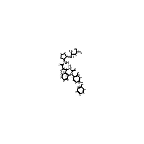 C=c1[nH]c2c(C(=O)NC3CCCC3NC(=O)CN(C)C)sc3nccc(c32)n1-c1ccc(Oc2ccccc2)cc1C